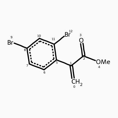 C=C(C(=O)OC)c1ccc(Br)cc1Br